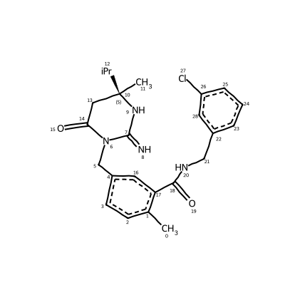 Cc1ccc(CN2C(=N)N[C@](C)(C(C)C)CC2=O)cc1C(=O)NCc1cccc(Cl)c1